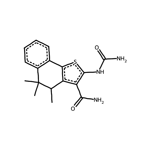 CC1c2c(sc(NC(N)=O)c2C(N)=O)-c2ccccc2C1(C)C